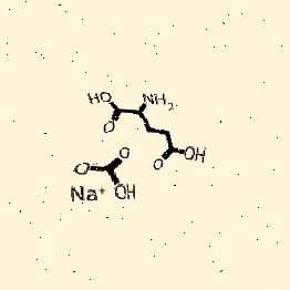 NC(CCC(=O)O)C(=O)O.O=C([O-])O.[Na+]